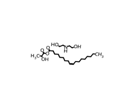 CCCCCCCC/C=C\CCCCCCCC(=O)OC(=O)C(C)O.OCCNCCO